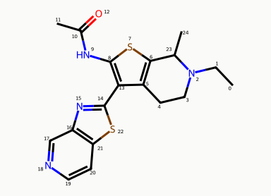 CCN1CCc2c(sc(NC(C)=O)c2-c2nc3cnccc3s2)C1C